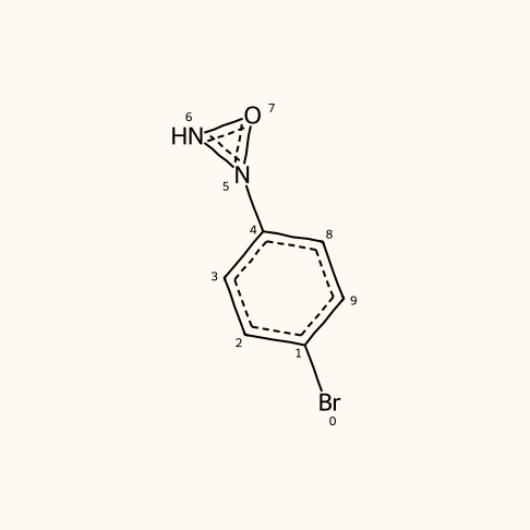 Brc1ccc(-n2[nH]o2)cc1